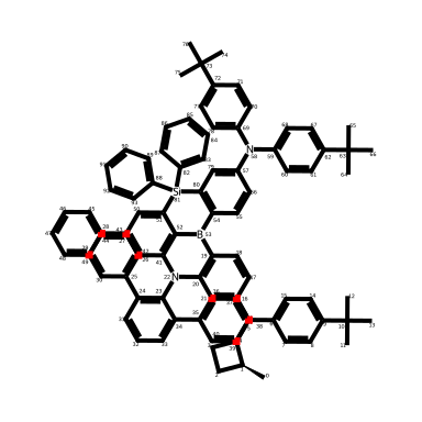 C[C@H]1CCC1N(c1ccc(C(C)(C)C)cc1)c1ccc2c(c1)N(c1c(-c3ccccc3)cccc1-c1ccccc1)c1cc(-c3ccccc3)cc3c1B2c1ccc(N(c2ccc(C(C)(C)C)cc2)c2ccc(C(C)(C)C)cc2)cc1[Si]3(c1ccccc1)c1ccccc1